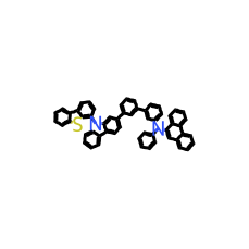 c1ccc(N(c2cccc(-c3cccc(-c4ccc5c6ccccc6n(-c6cccc7c6sc6ccccc67)c5c4)c3)c2)c2cc3ccccc3c3ccccc23)cc1